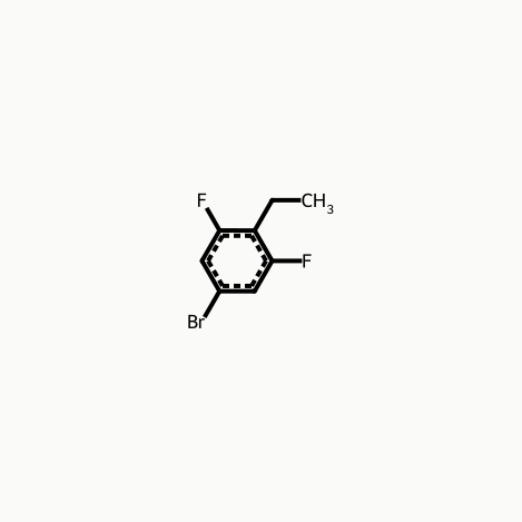 CCc1c(F)cc(Br)cc1F